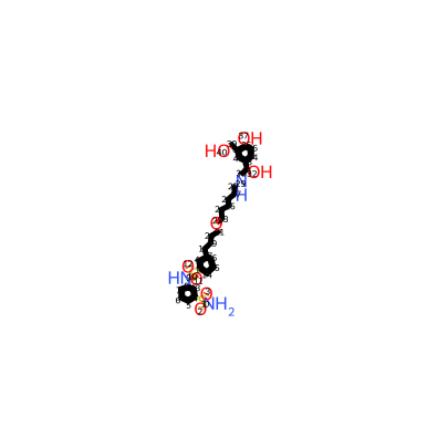 NS(=O)(=O)c1cccc(NS(=O)(=O)c2cccc(CCCCOCCCCCCNC[C@@H](O)c3ccc(O)c(CO)c3)c2)c1